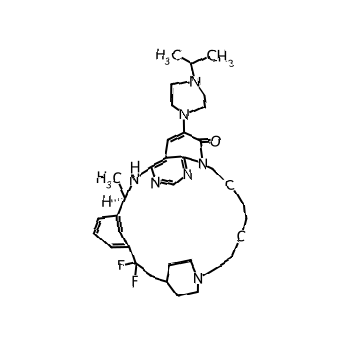 CC(C)N1CCN(c2cc3c4ncnc3n(c2=O)CCCCCCN2CCC(CC2)CC(F)(F)c2cccc(c2)[C@@H](C)N4)CC1